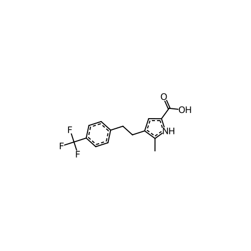 Cc1[nH]c(C(=O)O)cc1CCc1ccc(C(F)(F)F)cc1